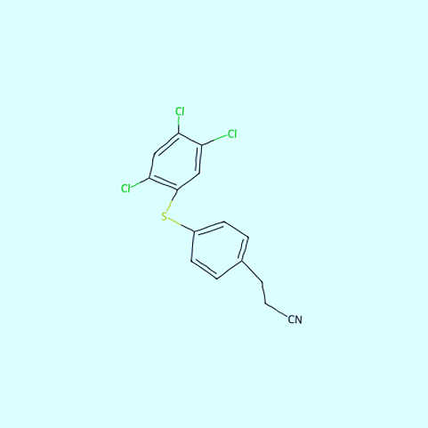 N#CCCc1ccc(Sc2cc(Cl)c(Cl)cc2Cl)cc1